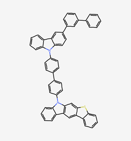 c1ccc(-c2cccc(-c3ccc4c(c3)c3ccccc3n4-c3ccc(-c4ccc(-n5c6ccccc6c6cc7c(cc65)sc5ccccc57)cc4)cc3)c2)cc1